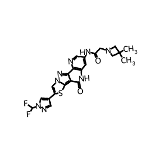 CC1(C)CN(CC(=O)Nc2cnc3c(c2)[nH]c(=O)c2c3nn3cc(-c4cnn(C(F)F)c4)sc23)C1